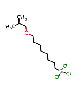 C=C(C)COCCCCCCCC[Si](Cl)(Cl)Cl